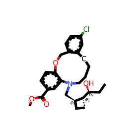 CC[C@H](O)[C@@H]1CC[C@H]1CN1CCCCc2cc(Cl)ccc2COc2ccc(C(=O)OC)cc21